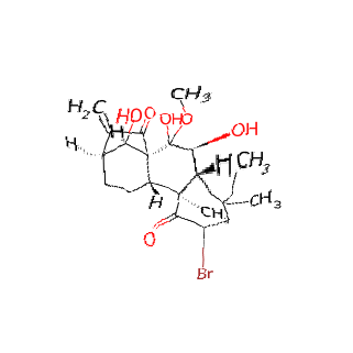 C=C1C(=O)[C@]23[C@H](O)[C@H]1CC[C@H]2[C@]1(C)C(=O)C(Br)CC(C)(C)[C@H]1[C@H](O)C3(O)OC